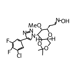 CO[C@@H]1[C@@H](n2cc(-c3cc(F)c(F)c(Cl)c3)nn2)[C@H]2OC(C)(C)OC[C@H]2O[C@@H]1CC=NO